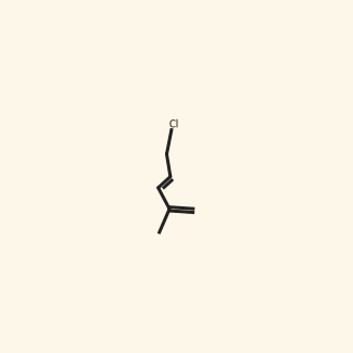 C=C(C)/C=C/CCl